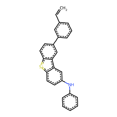 C=Cc1cccc(-c2ccc3sc4ccc(Nc5ccccc5)cc4c3c2)c1